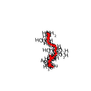 CCCC(=O)OCN(C(=O)[C@@H](NC(=O)[C@H]1CCCCN1C)[C@H](C)CC)[C@H](C[C@@H](OC(C)=O)c1nc(C(=O)N[C@@H](Cc2ccc(O)cc2)C[C@H](C)C(=O)NNC(=O)OCCSSC[C@H](NC(=O)C[C@H](NC(=O)C[C@H](NC(=O)CN2CCN(CCNC(=O)C[C@H](NC(=O)CC[C@H](NC(=O)c3ccc(NCc4cnc5nc(N)[nH]c(=O)c5n4)cc3)C(=O)O)C(=O)O)CC2)C(=O)O)C(=O)O)C(=O)O)cs1)C(C)C